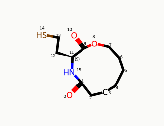 O=C1CCCCCCOC(=O)[C@H](CCS)N1